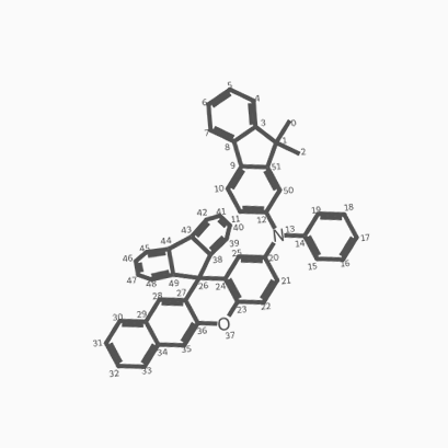 CC1(C)c2ccccc2-c2ccc(N(c3ccccc3)c3ccc4c(c3)C3(c5cc6ccccc6cc5O4)c4ccccc4-c4ccccc43)cc21